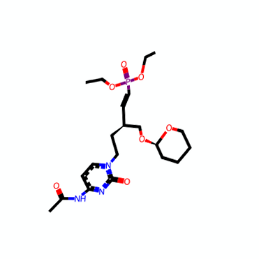 CCOP(=O)(/C=C/[C@H](CCn1ccc(NC(C)=O)nc1=O)CO[C@@H]1CCCCO1)OCC